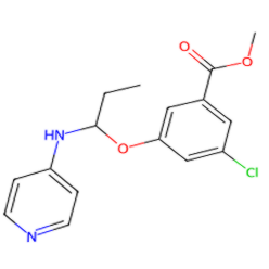 CCC(Nc1ccncc1)Oc1cc(Cl)cc(C(=O)OC)c1